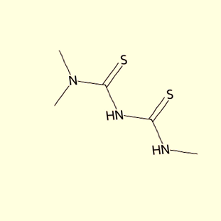 CNC(=S)NC(=S)N(C)C